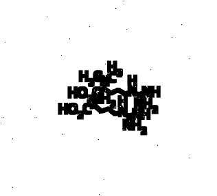 CN(C)C(CCCNC(=N)N)C(=O)O.N=C(N)NCCCC(N)C(=O)O